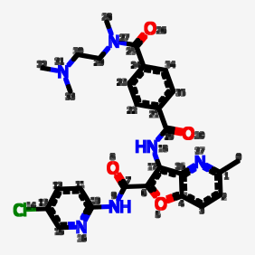 Cc1ccc2oc(C(=O)Nc3ccc(Cl)cn3)c(NC(=O)c3ccc(C(=O)N(C)CCN(C)C)cc3)c2n1